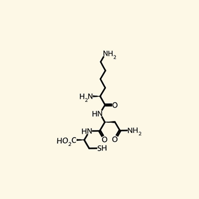 NCCCC[C@H](N)C(=O)N[C@@H](CC(N)=O)C(=O)N[C@@H](CS)C(=O)O